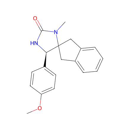 COc1ccc([C@H]2NC(=O)N(C)C23Cc2ccccc2C3)cc1